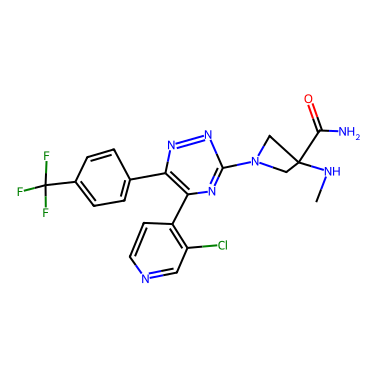 CNC1(C(N)=O)CN(c2nnc(-c3ccc(C(F)(F)F)cc3)c(-c3ccncc3Cl)n2)C1